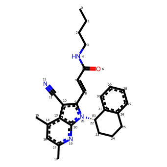 CCCCNC(=O)C=Cc1c(C#N)c2c(C)cc(C)nc2n1[C@H]1CCCc2ccccc21